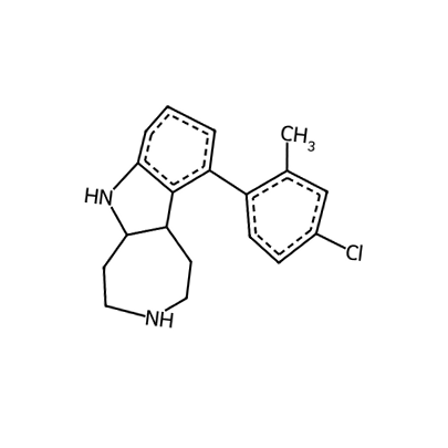 Cc1cc(Cl)ccc1-c1cccc2c1C1CCNCCC1N2